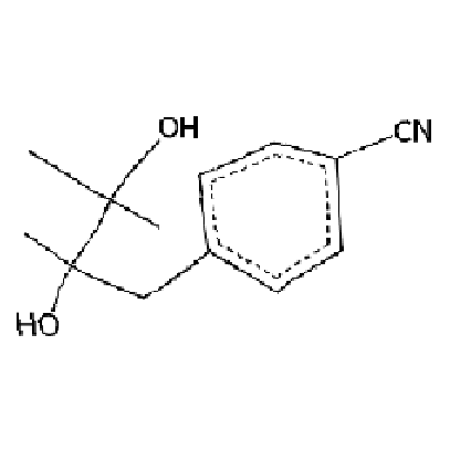 CC(C)(O)C(C)(O)Cc1ccc(C#N)cc1